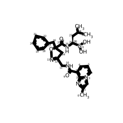 Cc1cn2cccc(C(=O)NCC3=NOC(Cc4ccccc4)(C(=O)N[C@@H](CC(C)C)B(O)O)C3)c2n1